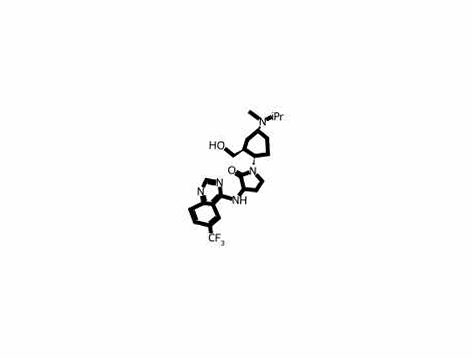 CC(C)N(C)[C@@H]1CC[C@H](N2CCC(Nc3ncnc4ccc(C(F)(F)F)cc34)C2=O)[C@@H](CO)C1